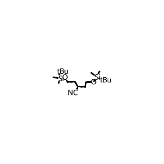 CC(C)(C)[Si](C)(C)OCCC(C#N)CCO[Si](C)(C)C(C)(C)C